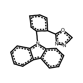 c1ccc(-n2c3ccccc3c3ccccc32)c(-c2nnco2)c1